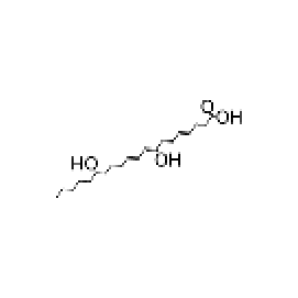 CCCCCC(O)CCCC=CC=C(O)C=CC=CC=CC(=O)O